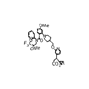 CCOC(=O)CC(c1ccnc(OCC2CCN(c3cc(OC)ccc3C(=O)N(CC(OC)C(F)(F)F)c3ccccn3)CC2)c1)C1CC1